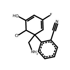 N#Cc1ccccc1C1(CN)C=C(F)C=C(O)C1Cl